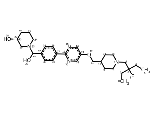 CCC(F)(CC)CN1CCC(COc2cnc(-c3ccc(C(O)N4CCC[C@@H](O)C4)cc3)nc2)CC1